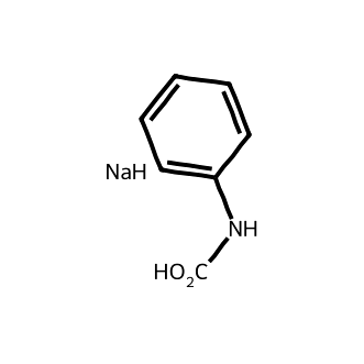 O=C(O)Nc1ccccc1.[NaH]